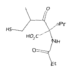 CCCC(NC(=O)CC)(C(=O)O)C(=O)C(C)CS